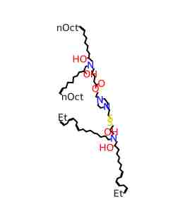 CC/C=C\C/C=C\C/C=C\CCCCCCC(O)CN(CCCSSCCN1CCN(CCOC(=O)CCCCN(CC(O)CCCCCC/C=C\CCCCCCCC)CC(O)CCCCCC/C=C\CCCCCCCC)CC1)CC(O)CCCCCC/C=C\C/C=C\C/C=C\CC